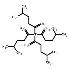 C=C(CCC(C)C)[N+](C(=C)CCC(C)C)(C(=C)CCC(C)C)C(=C)CCC(C)C